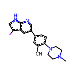 CN1CCN(c2ccc(-c3cnc4[nH]cc(I)c4c3)cc2C#N)CC1